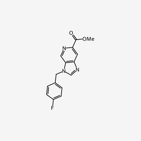 COC(=O)c1cc2ncn(Cc3ccc(F)cc3)c2cn1